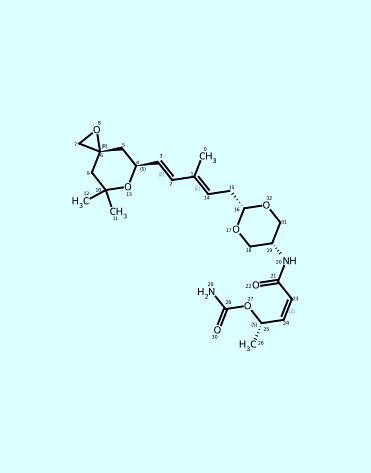 CC(/C=C/[C@@H]1C[C@]2(CO2)CC(C)(C)O1)=C\C[C@H]1OC[C@@H](NC(=O)/C=C\[C@H](C)OC(N)=O)CO1